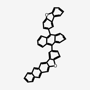 c1ccc2cc3cc4c(cc3cc2c1)oc1ccc(-c2c3ccccc3c(-c3ccc5oc6ccccc6c5c3)c3ccccc23)cc14